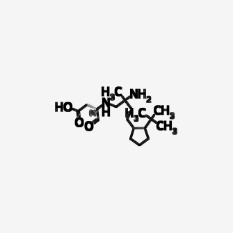 CC(N)(CCC1CCCC1C(C)(C)C)CN[C@H](C=O)CC(=O)O